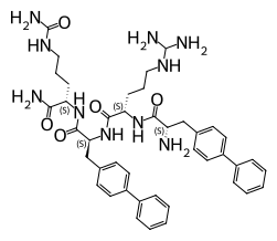 NC(=O)NCCC[C@H](NC(=O)[C@H](Cc1ccc(-c2ccccc2)cc1)NC(=O)[C@H](CCCNC(N)N)NC(=O)[C@@H](N)Cc1ccc(-c2ccccc2)cc1)C(N)=O